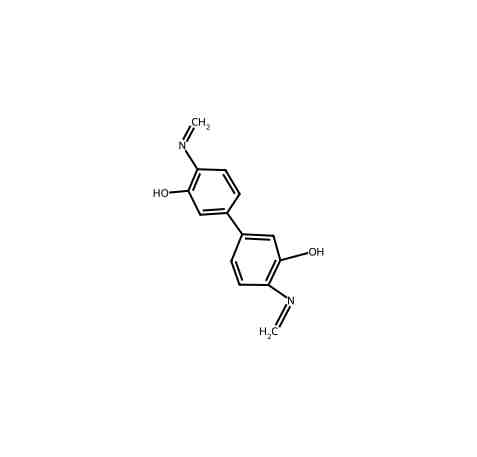 C=Nc1ccc(-c2ccc(N=C)c(O)c2)cc1O